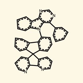 c1ccc(-c2ncnc3c4ccccc4n(-c4cccc5c4-c4ccccc4C54c5cccnc5-c5ncccc54)c23)cc1